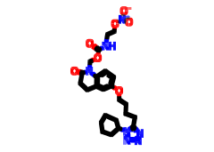 O=C(NCCO[N+](=O)[O-])OCN1C(=O)CCc2cc(OCCCCc3nnnn3C3CCCCC3)ccc21